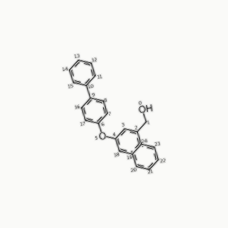 OCc1cc(Oc2ccc(-c3ccccc3)cc2)cc2ccccc12